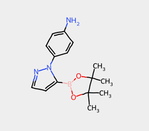 CC1(C)OB(c2ccnn2-c2ccc(N)cc2)OC1(C)C